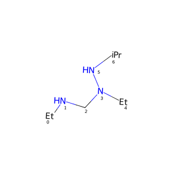 CCNCN(CC)NC(C)C